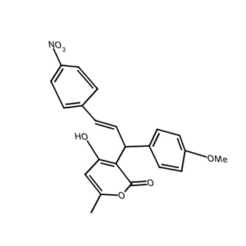 COc1ccc(C(C=Cc2ccc([N+](=O)[O-])cc2)c2c(O)cc(C)oc2=O)cc1